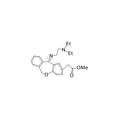 CCN(CC)CC/N=C1/c2ccccc2COc2ccc(CC(=O)OC)cc21